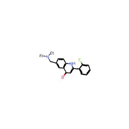 CCN(CC)Cc1ccc2[nH]c(-c3ccccc3F)cc(=O)c2c1